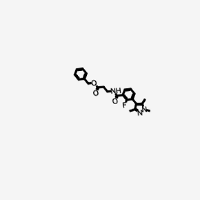 Cc1nn(C)c(C)c1-c1cccc(C(=O)NCCC(=O)OCc2ccccc2)c1F